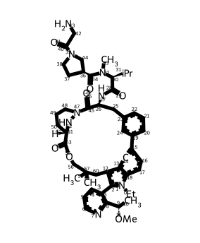 CCn1c(-c2cccnc2[C@H](C)OC)c2c3cc(ccc31)-c1cccc(c1)C[C@H](NC(=O)[C@H](C(C)C)N(C)C(=O)[C@H]1CCN(C(=O)CN)C1)C(=O)N1CCC[C@H](N1)C(=O)OCC(C)(C)C2